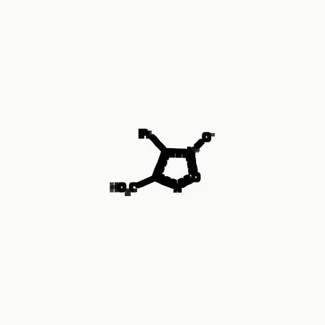 CC(C)c1c(C(=O)O)no[n+]1[O-]